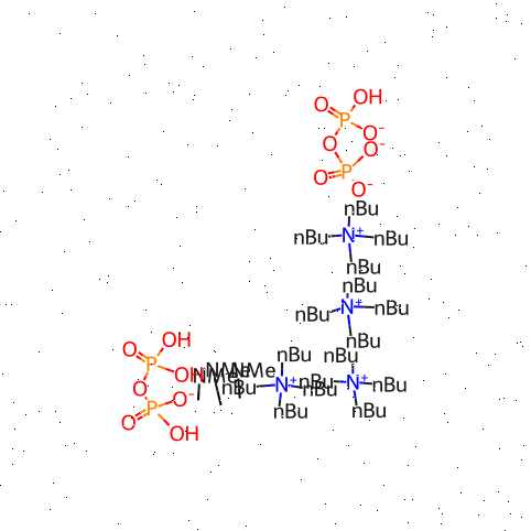 CCCC[N+](CCCC)(CCCC)CCCC.CCCC[N+](CCCC)(CCCC)CCCC.CCCC[N+](CCCC)(CCCC)CCCC.CCCC[N+](CCCC)(CCCC)CCCC.CNC.CNC.CNC.O=P([O-])(O)OP(=O)(O)O.O=P([O-])([O-])OP(=O)([O-])O